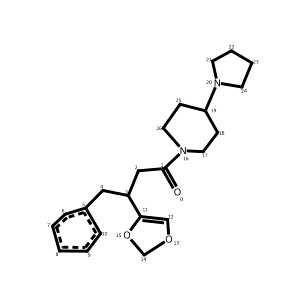 O=C(CC(Cc1ccccc1)C1=COCO1)N1CCC(N2CCCC2)CC1